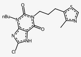 CCCCn1c(=O)n(CCCc2scnc2C)c(=O)c2[nH]c(Cl)nc21